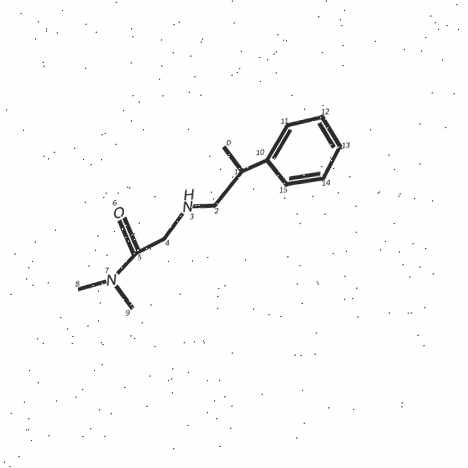 CC(CNCC(=O)N(C)C)c1ccccc1